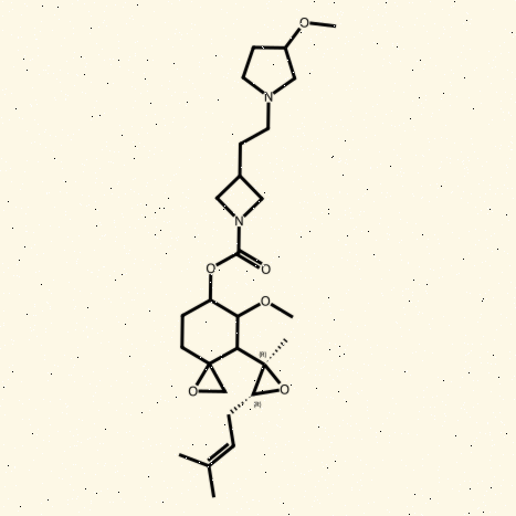 COC1CCN(CCC2CN(C(=O)OC3CCC4(CO4)C([C@@]4(C)O[C@@H]4CC=C(C)C)C3OC)C2)C1